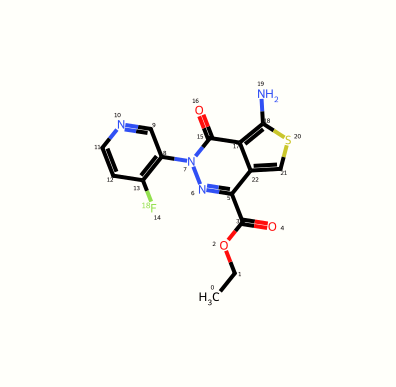 CCOC(=O)c1nn(-c2cnccc2[18F])c(=O)c2c(N)scc12